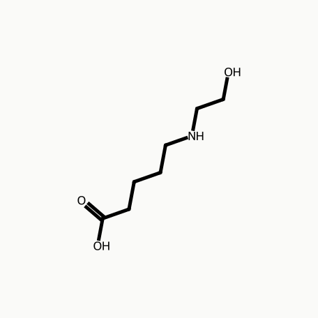 O=C(O)CCCCNCCO